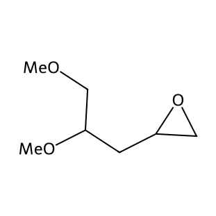 COCC(CC1CO1)OC